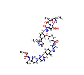 Cc1cc(C(C(=O)N2C[C@H](O)C[C@H]2C(=O)NCc2ccc(-c3scnc3C)cc2OC2CCC(C(=O)N3CC(Nc4cccc(Sc5cnc(N6CCC(C)(CNC(=O)OC(C)(C)C)CC6)cn5)c4Cl)C3)CC2)C(C)C)on1